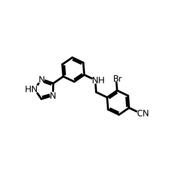 N#Cc1ccc(CNc2cccc(-c3nc[nH]n3)c2)c(Br)c1